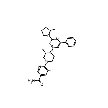 Cc1cc(C(N)=O)cnc1N1CCN(c2cc(-c3ccccc3)nc(N3CCCC3C)n2)[C@H](C)C1